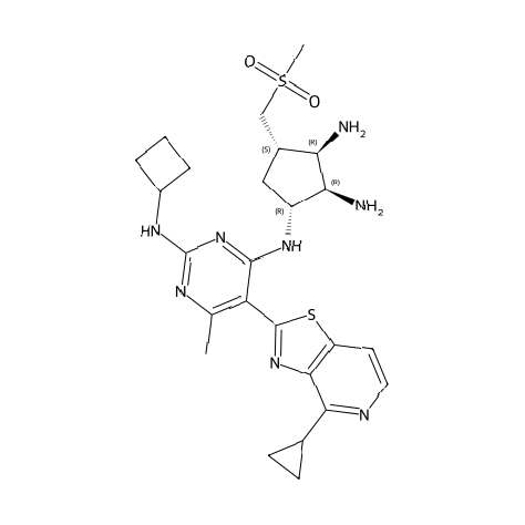 Cc1nc(NC2CCC2)nc(N[C@@H]2C[C@H](CS(C)(=O)=O)[C@@H](N)[C@H]2N)c1-c1nc2c(C3CC3)nccc2s1